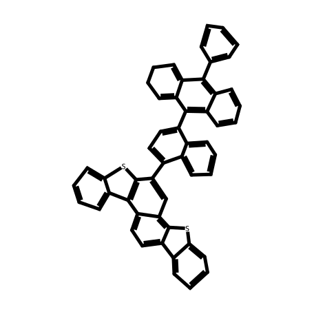 C1=c2c(-c3ccccc3)c3ccccc3c(-c3ccc(-c4cc5c(ccc6c7ccccc7sc65)c5c4sc4ccccc45)c4ccccc34)c2=CCC1